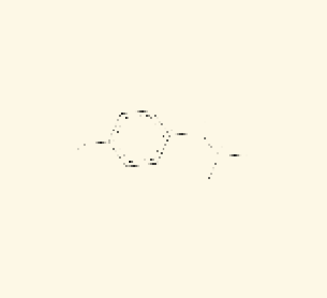 Cc1ccc(SP(C)C)cc1